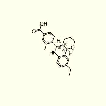 CCc1ccc2c(c1)[C@@H]1OCCC[C@@H]1[C@@H](c1ccc(C(=O)O)cc1C)N2